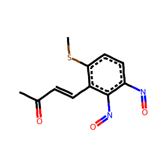 CSc1ccc(N=O)c(N=O)c1/C=C/C(C)=O